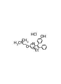 CC/C(=C(/c1ccc(O)cc1)c1ncc(OCCN(C)C)cn1)c1ccccc1.Cl